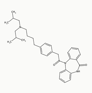 CC(C)CN(CCCCc1ccc(CC(=O)N2c3ccccc3NC(=O)c3ccccc32)cc1)CC(C)C